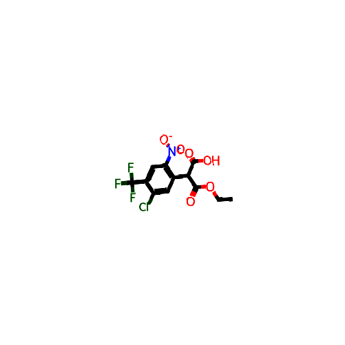 CCOC(=O)C(C(=O)O)c1cc(Cl)c(C(F)(F)F)cc1[N+](=O)[O-]